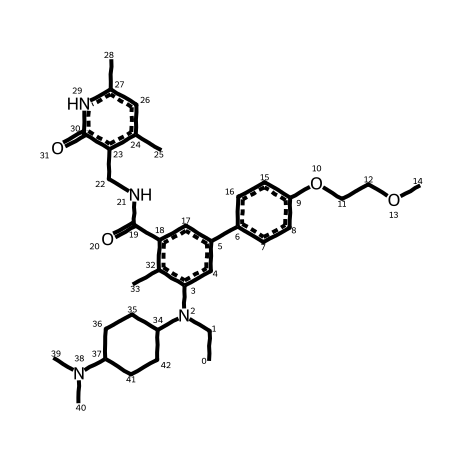 CCN(c1cc(-c2ccc(OCCOC)cc2)cc(C(=O)NCc2c(C)cc(C)[nH]c2=O)c1C)C1CCC(N(C)C)CC1